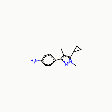 Cc1c(-c2ccc(N)cc2)nn(C)c1C1CC1